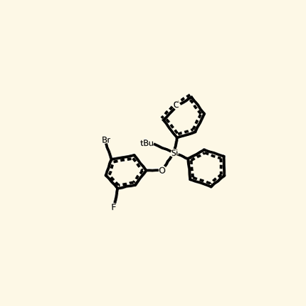 CC(C)(C)[Si](Oc1cc(F)cc(Br)c1)(c1ccccc1)c1ccccc1